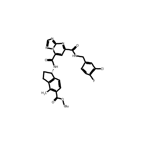 Cc1c(C(=O)OC(C)(C)C)ccc2c1CC[C@@H]2NC(=O)c1cc(C(=O)NCc2ccc(F)c(Cl)c2)nc2ncnn12